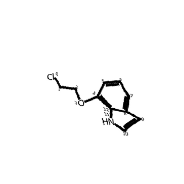 ClCCOc1cccc2cc[nH]c12